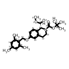 COC(O)[C@H]1c2ccc(OCc3c(C)cc(C)cc3C)cc2CCN1C(=O)OC(C)(C)C